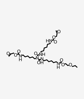 CCCOCCOC(=O)NCCCCCCNC(=O)N(CCCCCCNC(=O)OCC1CO1)C(=O)NCCCCCCNC(=O)OCC1CO1